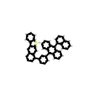 c1cc(-c2cccc3cc4c(cc23)sc2ccccc24)cc(-c2c3ccccc3c(-c3cccc4ccccc34)c3ccccc23)c1